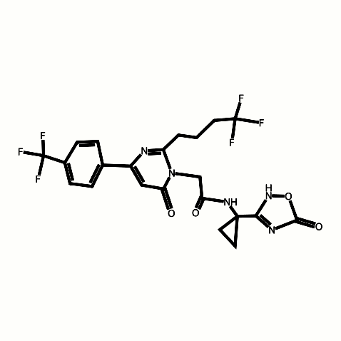 O=C(Cn1c(CCCC(F)(F)F)nc(-c2ccc(C(F)(F)F)cc2)cc1=O)NC1(c2nc(=O)o[nH]2)CC1